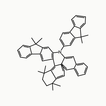 CC1(C)CCC(C)(C)c2c(-c3cc4c(cc3N(c3ccc5c(c3)C(C)(C)c3ccccc3-5)c3ccc5ccccc5c3)C(C)(C)c3ccccc3-4)cccc21